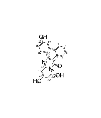 O=c1c(-c2ccccc2)c(-c2ccc(O)cc2)nc2cc(O)cc(O)n12